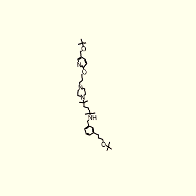 CC(C)(CCC(C)(C)N1CCN(CCCOc2ccc(COC(C)(C)C)cn2)CC1)NCc1cccc(CCCOC(C)(C)C)c1